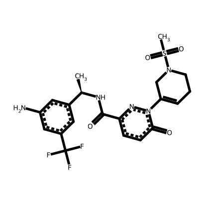 C[C@@H](NC(=O)c1ccc(=O)n(C2=CCCN(S(C)(=O)=O)C2)n1)c1cc(N)cc(C(F)(F)F)c1